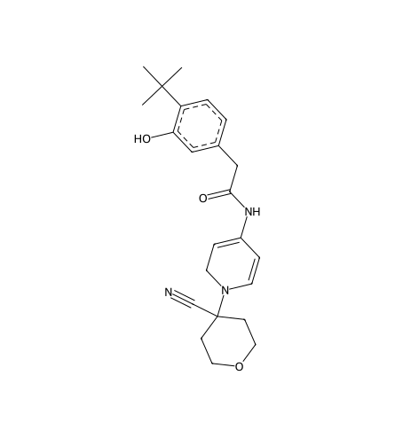 CC(C)(C)c1ccc(CC(=O)NC2=CCN(C3(C#N)CCOCC3)C=C2)cc1O